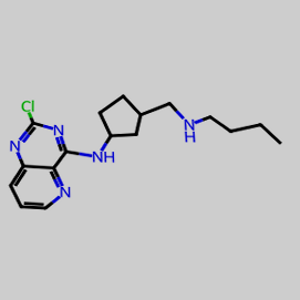 CCCCNCC1CCC(Nc2nc(Cl)nc3cccnc23)C1